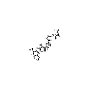 COc1cc(O)c(C=O)c2c1C[C@@H](C(=O)Nc1cc([C@H]3CC[C@@H](OC(=O)N(C)N(C)C)C3)n[nH]1)C2